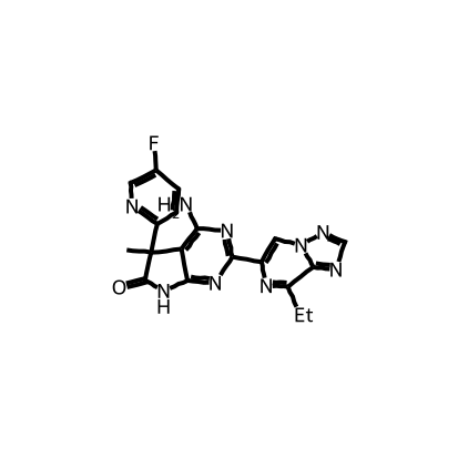 CCc1nc(-c2nc(N)c3c(n2)NC(=O)C3(C)c2ccc(F)cn2)cn2ncnc12